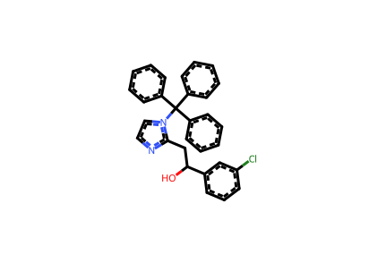 OC(Cc1nccn1C(c1ccccc1)(c1ccccc1)c1ccccc1)c1cccc(Cl)c1